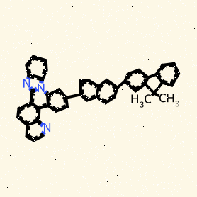 CC1(C)c2ccccc2-c2ccc(-c3ccc4cc(-c5ccc6c7c(ccc8cccnc87)c7nc8ccccc8n7c6c5)ccc4c3)cc21